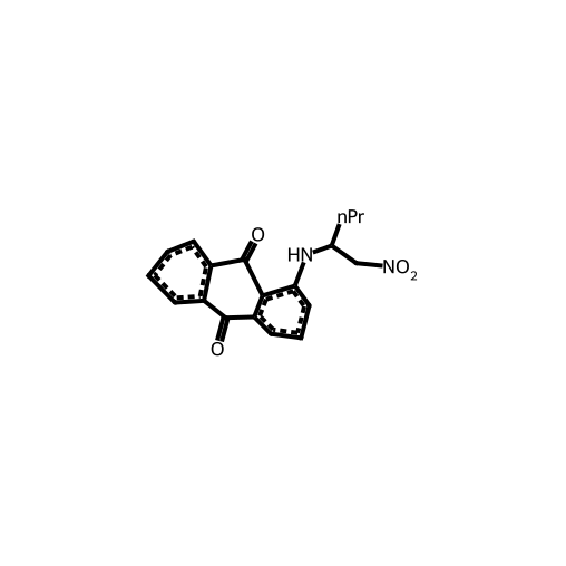 CCCC(C[N+](=O)[O-])Nc1cccc2c1C(=O)c1ccccc1C2=O